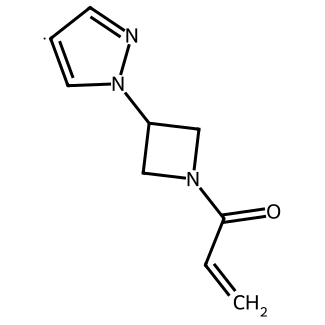 C=CC(=O)N1CC(n2c[c]cn2)C1